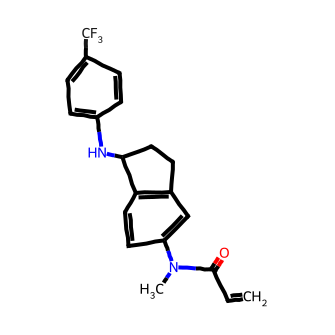 C=CC(=O)N(C)c1ccc2c(c1)CCC2Nc1ccc(C(F)(F)F)cc1